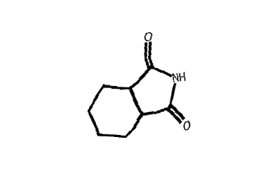 O=C1NC(=O)C2CCCC[C]12